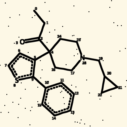 CCC(=O)C1(c2ccsc2-c2ccccc2)CCN(CC2CC2)CC1